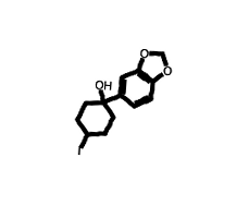 OC1(c2ccc3c(c2)OCO3)CCC(I)CC1